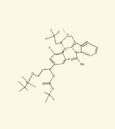 C[C@@H]1Cc2c(n(C(=O)O)c3ccccc23)[C@@H](c2c(F)cc(C(CCO[Si](C)(C)C(C)(C)C)OC(=O)OC(C)(C)C)cc2F)N1CC(F)(F)F